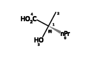 CCC[C@](C)(O)C(=O)O